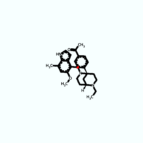 CCN1CC[C@]2(c3ccc(C(C)=O)cc3)C[C@H]1CCN2Cc1c(OC)cc(C)c2[nH]ccc12